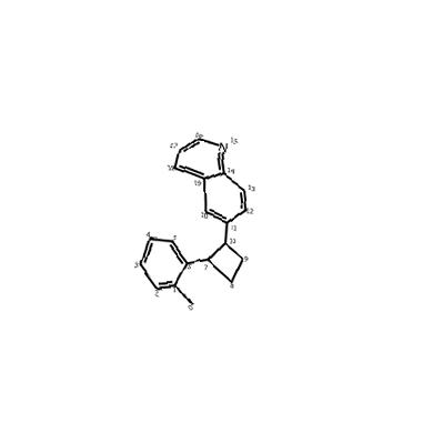 Cc1ccccc1C1CCC1c1ccc2ncccc2c1